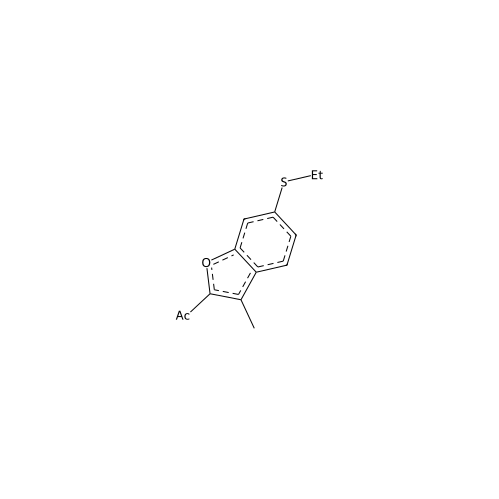 CCSc1ccc2c(C)c(C(C)=O)oc2c1